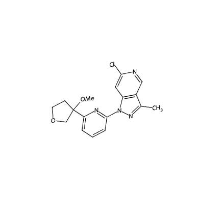 COC1(c2cccc(-n3nc(C)c4cnc(Cl)cc43)n2)CCOC1